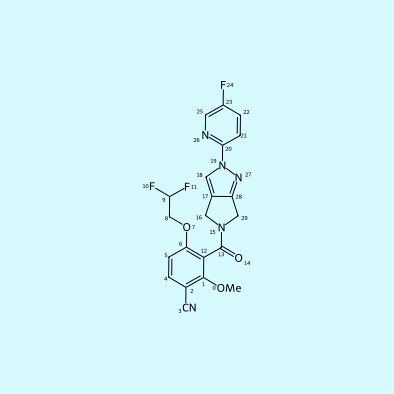 COc1c(C#N)ccc(OCC(F)F)c1C(=O)N1Cc2cn(-c3ccc(F)cn3)nc2C1